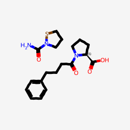 NC(=O)N1CCCS1.O=C(O)[C@@H]1CCCN1C(=O)CCCc1ccccc1